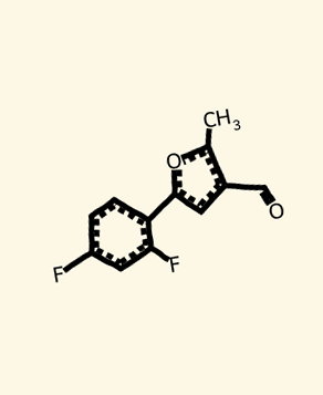 Cc1oc(-c2ccc(F)cc2F)cc1C=O